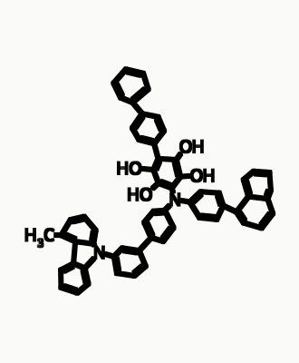 Cc1cccc2c1c1ccccc1n2-c1cccc(-c2ccc(N(c3ccc(-c4cccc5ccccc45)cc3)c3c(O)c(O)c(-c4ccc(-c5ccccc5)cc4)c(O)c3O)cc2)c1